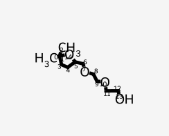 CC1(C)CCC(COCCOCCO)O1